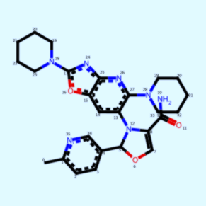 Cc1ccc(C2OC=C(C(N)=O)N2c2cc3oc(N4CCCCC4)nc3nc2N2CCCCC2)cn1